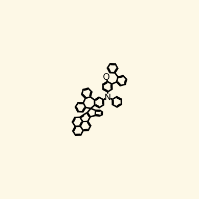 c1ccc(N(c2ccc3c(c2)-c2ccccc2-c2ccccc2O3)c2ccc3c(c2)-c2ccccc2-c2ccccc2C32c3ccccc3-c3c2cc2ccc4cccc5ccc3c2c45)cc1